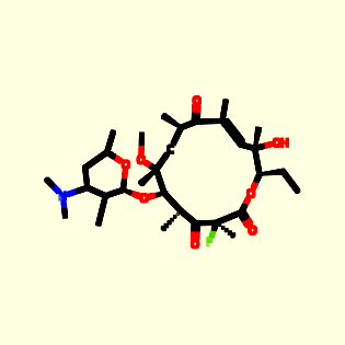 CC[C@H]1OC(=O)[C@@](C)(F)C(=O)[C@H](C)[C@@H](O[C@@H]2OC(C)CC(N(C)C)C2C)[C@](C)(OC)C[C@@H](C)C(=O)/C(C)=C/[C@]1(C)O